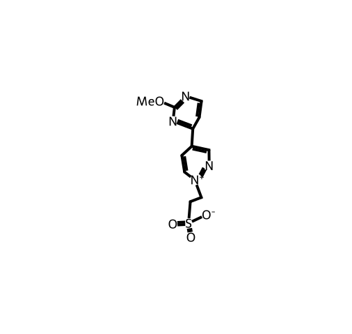 COc1nccc(-c2cc[n+](CCS(=O)(=O)[O-])nc2)n1